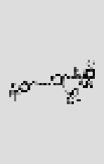 COc1ccc2nccc([C@H](F)CC[C@@H]3CCN(CCCCc4ccc(C(F)(F)F)cc4)C[C@H]3CCC(=O)O)c2c1